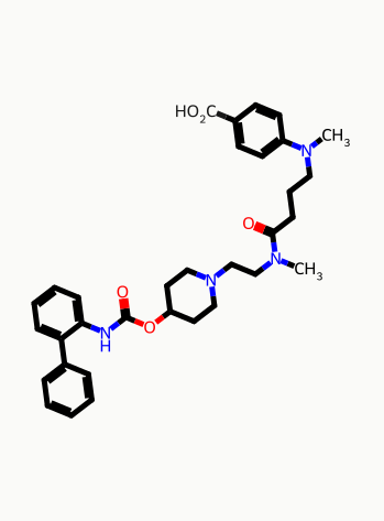 CN(CCN1CCC(OC(=O)Nc2ccccc2-c2ccccc2)CC1)C(=O)CCCN(C)c1ccc(C(=O)O)cc1